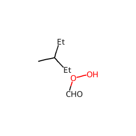 CCC(C)CC.O=COO